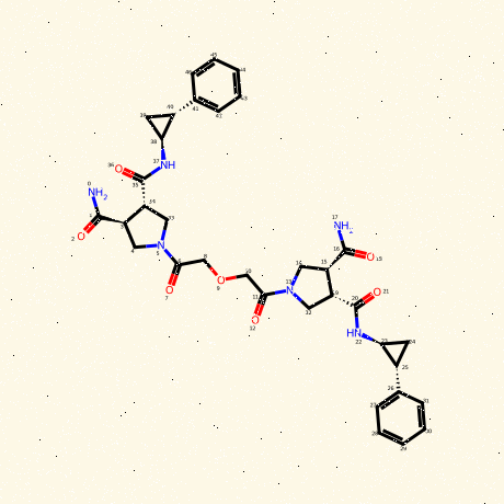 NC(=O)[C@@H]1CN(C(=O)COCC(=O)N2C[C@@H](C(N)=O)[C@H](C(=O)N[C@H]3C[C@@H]3c3ccccc3)C2)C[C@H]1C(=O)N[C@H]1C[C@@H]1c1ccccc1